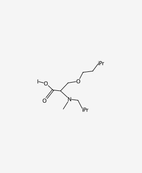 CC(C)CCOCC(C(=O)OI)N(C)CC(C)C